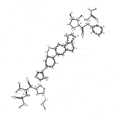 COC[C@H]1C[C@@H](c2ncc(-c3ccc4c(c3)COc3cc5c(ccc6nc([C@@H]7C[C@@H](C)[C@@H](C)N7C(=O)[C@H](NC(=O)OC)c7ccccc7)[nH]c65)cc3-4)[nH]2)N(C(=O)[C@@H](NC(=O)OC)C(C)C)C1